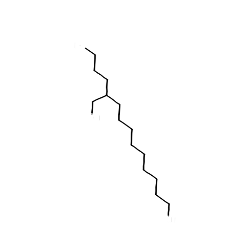 CCCCC(CO)CCCCCCCCCS